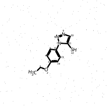 CCOc1ccc(-n2nncc2S)cc1